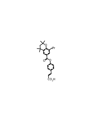 CC(C)c1cc(C(=O)Oc2ccc(C=CC(=O)O)cc2)cc2c1OC(C)(C)CC2(C)C